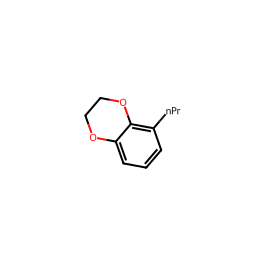 CCCc1cccc2c1OCCO2